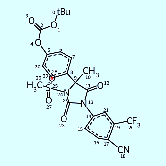 CC(C)(C)OC(=O)Oc1ccc(C2(C)C(=O)N(c3ccc(C#N)c(C(F)(F)F)c3)C(=O)N2S(C)(=O)=O)cc1